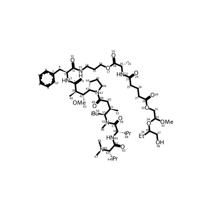 C=C(N[C@@H](Cc1ccccc1)C(=O)NCCCOC(=O)[C@H](C)NC(=O)CCCC(=O)OCC(OC)OC(CC)CO)[C@H](C)[C@@H](OC)[C@@H]1CCCN1C(=O)C[C@@H](C)[C@H](C(C)CC)N(C)C(=O)[C@@H](NC(=O)[C@H](C(C)C)N(C)C)C(C)C